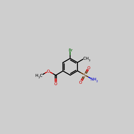 COC(=O)c1cc(Br)c(C)c(S(N)(=O)=O)c1